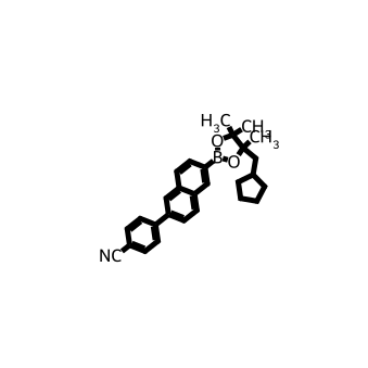 CC1(C)OB(c2ccc3cc(-c4ccc(C#N)cc4)ccc3c2)OC1(C)CC1CCCC1